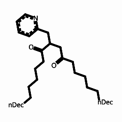 CCCCCCCCCCCCCCCC(=O)CC(Cc1ccccn1)C(=O)CCCCCCCCCCCCCCC